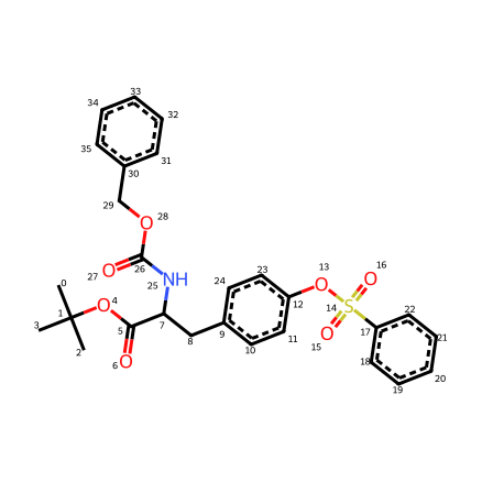 CC(C)(C)OC(=O)C(Cc1ccc(OS(=O)(=O)c2ccccc2)cc1)NC(=O)OCc1ccccc1